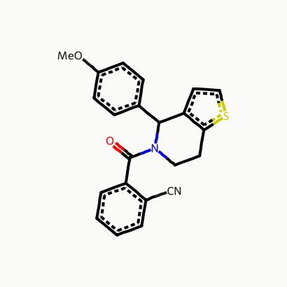 COc1ccc(C2c3ccsc3CCN2C(=O)c2ccccc2C#N)cc1